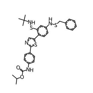 CC(C)OC(=O)Nc1ccc(-c2ncc(-c3ccc(NSCc4ccccc4)cc3SNC(C)(C)C)s2)cc1